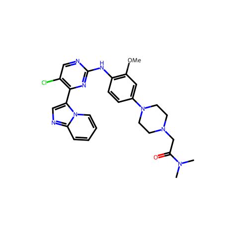 COc1cc(N2CCN(CC(=O)N(C)C)CC2)ccc1Nc1ncc(Cl)c(-c2cnc3ccccn23)n1